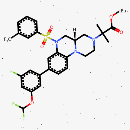 CC(C)(C)OC(=O)C(C)(C)N1CCN2c3ccc(-c4cc(F)cc(OC(F)F)c4)cc3N(S(=O)(=O)c3cccc(C(F)(F)F)c3)C[C@@H]2C1